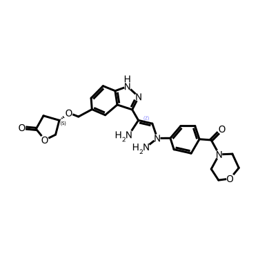 N/C(=C\N(N)c1ccc(C(=O)N2CCOCC2)cc1)c1n[nH]c2ccc(CO[C@@H]3COC(=O)C3)cc12